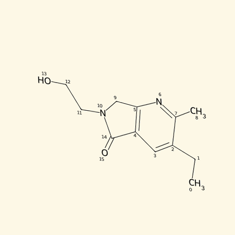 CCc1cc2c(nc1C)CN(CCO)C2=O